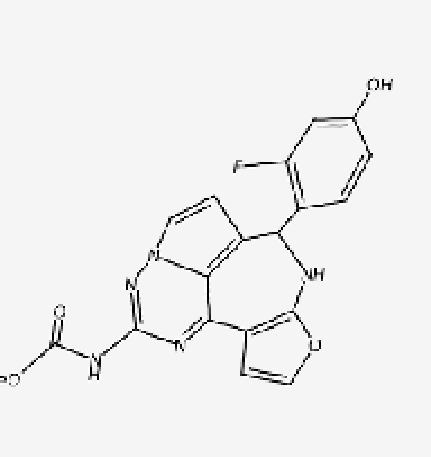 COC(=O)Nc1nc2c3c(ccn3n1)C(c1ccc(O)cc1F)Nc1occc1-2